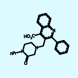 CCCN1CCN(Cc2c(-c3ccccc3)nc3ccccc3c2C(=O)O)CC1=O